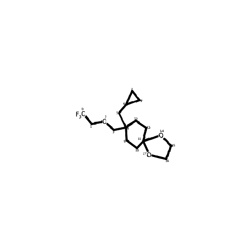 FC(F)(F)COCC1(CC2CC2)CCC2(CC1)OCCO2